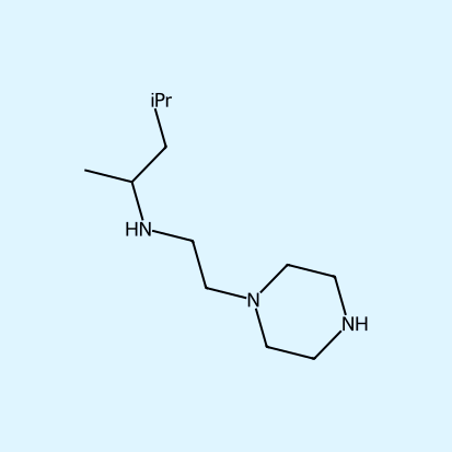 CC(C)CC(C)NCCN1CCNCC1